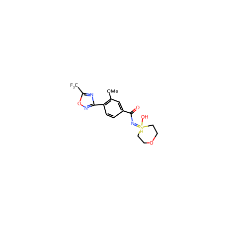 COc1cc(C(=O)N=[SH]2(O)CCOCC2)ccc1-c1noc(C(F)(F)F)n1